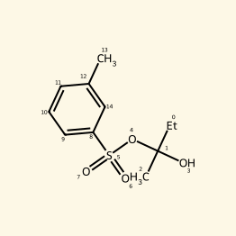 CCC(C)(O)OS(=O)(=O)c1cccc(C)c1